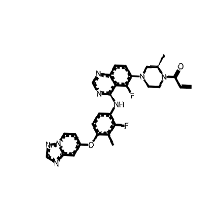 C=CC(=O)N1CCN(c2ccc3ncnc(Nc4ccc(Oc5ccn6ncnc6c5)c(C)c4F)c3c2F)C[C@H]1C